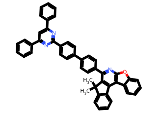 CC1(C)c2ccccc2-c2c1c(-c1ccc(-c3ccc(-c4nc(-c5ccccc5)cc(-c5ccccc5)n4)cc3)cc1)nc1oc3ccccc3c21